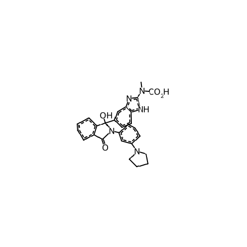 CN(C(=O)O)c1nc2cc(C3(O)c4ccccc4C(=O)N3c3cccc(N4CCCC4)c3)ccc2[nH]1